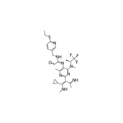 CCSc1ccc(CN/C(C=O)=N/c2c(C)nc(/C(C(C)=N)=C(/NC)C3CC3)nc2N(C)[C@@H](C)C(F)(F)F)cn1